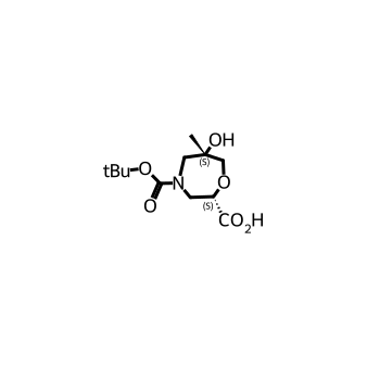 CC(C)(C)OC(=O)N1C[C@@H](C(=O)O)OC[C@@](C)(O)C1